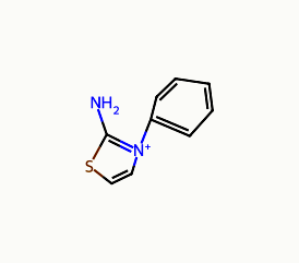 Nc1scc[n+]1-c1ccccc1